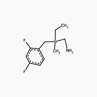 CC[Si](C)(CN)Cc1ccc(F)cc1F